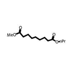 CCCOC(=O)CCCCCCCC(=O)OC